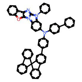 c1ccc(-c2ccc(N(c3ccc(-c4ccc5c(c4)C4(c6ccccc6-c6ccccc64)c4ccccc4-5)cc3)c3ccc4c(c3)n(-c3ccccc3)c3nc5c6ccccc6oc5n43)cc2)cc1